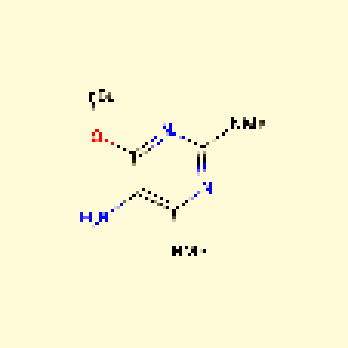 CCCCOc1nc(NC)nc(NC)c1N